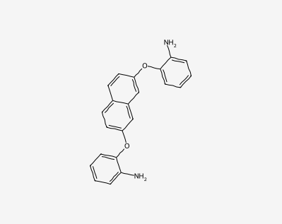 Nc1ccccc1Oc1ccc2ccc(Oc3ccccc3N)cc2c1